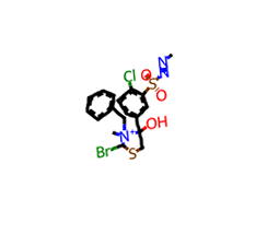 CN=NS(=O)(=O)c1cc(C2(O)CSC(Br)[N+]2(C)Cc2ccccc2)ccc1Cl